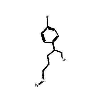 CC(C)OCCCC(CO)c1ccc(Br)cc1